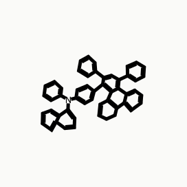 C1=Cc2c(c3ccccc3c3c(-c4ccccc4)cc(-c4ccccc4)c(-c4ccc(N(c5ccccc5)c5cccc6ccccc56)cc4)c23)CC1